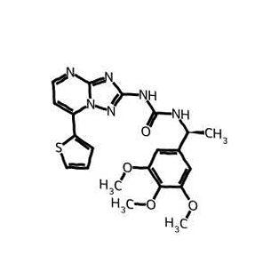 COc1cc([C@H](C)NC(=O)Nc2nc3nccc(-c4cccs4)n3n2)cc(OC)c1OC